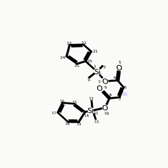 C[Si](C)(OC(=O)/C=C\C(=O)O[Si](C)(C)c1ccccc1)c1ccccc1